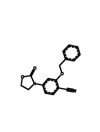 N#Cc1ccc(N2CCOC2=O)cc1OCc1ccccc1